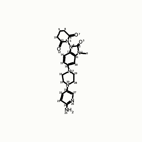 Cn1c(=O)n(N2C(=O)CCCC2=O)c2ccc(N3CCN(c4ccc(N)nc4)CC3)cc21